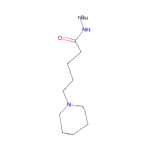 [CH2]CCCNC(=O)CCCCN1CCCCC1